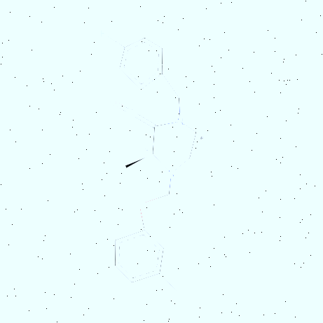 Cc1cccc(OCN2C[C@@H](C)N(Cc3ccc(F)cc3)C(=C=O)[C@@H]2C)c1